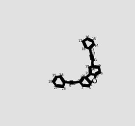 C(#Cc1ccc2oc3ccc(C#Cc4ccccc4)cc3c2c1)c1ccccc1